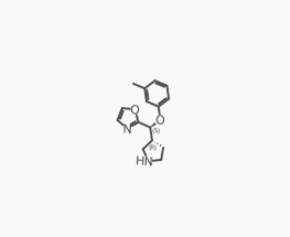 Cc1cccc(O[C@H](c2ncco2)[C@@H]2CCNC2)c1